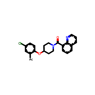 CC(=O)c1cc(Cl)ccc1OC1CCN(C(=O)c2cccc3cccnc23)CC1